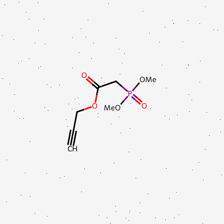 C#CCOC(=O)CP(=O)(OC)OC